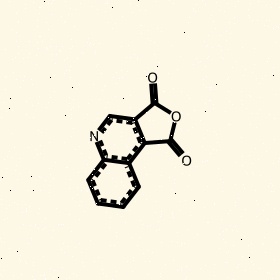 O=C1OC(=O)c2c1cnc1ccccc21